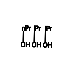 CC(C)O.CC(C)O.CCCO